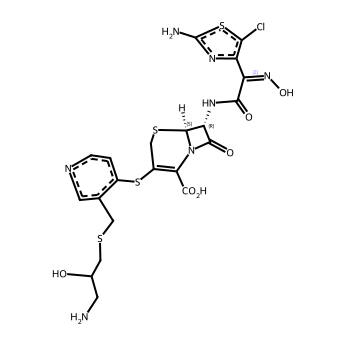 NCC(O)CSCc1cnccc1SC1=C(C(=O)O)N2C(=O)[C@@H](NC(=O)/C(=N\O)c3nc(N)sc3Cl)[C@@H]2SC1